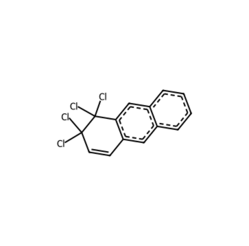 ClC1(Cl)C=Cc2cc3ccccc3cc2C1(Cl)Cl